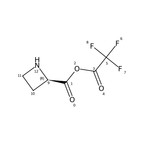 O=C(OC(=O)C(F)(F)F)[C@H]1CCN1